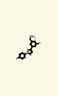 NCc1cc(F)cc(-c2ccn(-c3ccc(F)cc3)n2)c1